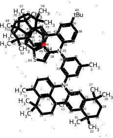 Cc1cc(N2C3=CCC(C)C4=C3[C@](C)(CCC4(C)C)c3cc4c(cc32)C(C)(C)CCC4(C)C)cc(N(c2ccc(C(C)(C)C)cc2-c2cc3c(cc2C)C(C)(C)CCC3(C)C)c2csc3c2CC2C(=C3)C(C)(C)CCC2(C)C)c1